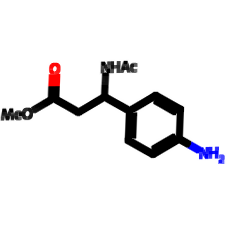 COC(=O)CC(NC(C)=O)c1ccc(N)cc1